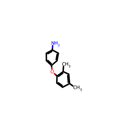 Cc1ccc(Oc2ccc(N)cc2)c(C)c1